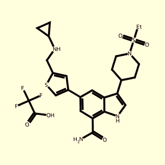 CCS(=O)(=O)N1CCC(c2c[nH]c3c(C(N)=O)cc(-c4csc(CNC5CC5)c4)cc23)CC1.O=C(O)C(F)(F)F